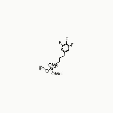 CO[Si](CCCCCc1cc(F)c(F)c(F)c1)(OC)OC(C)C